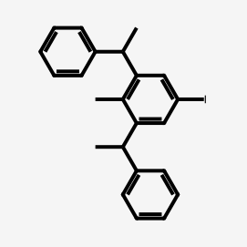 Cc1c(C(C)c2ccccc2)cc(I)cc1C(C)c1ccccc1